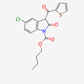 CCCCOC(=O)N1C(=O)C(C(=O)c2cccs2)c2cc(Cl)ccc21